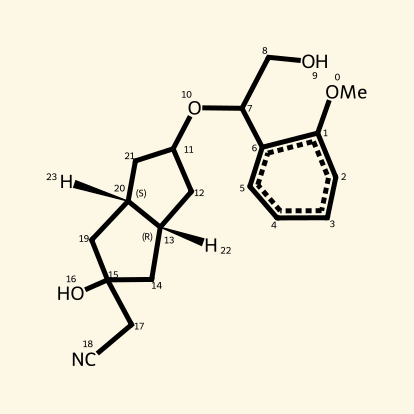 COc1ccccc1C(CO)OC1C[C@@H]2CC(O)(CC#N)C[C@@H]2C1